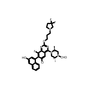 C[C@@H]1CN(c2nc(OCCCN3CCC(F)(F)C3)nc3c(F)c(-c4cc(O)cc5ccccc45)c(Cl)cc23)[C@@H](C)CN1C=O